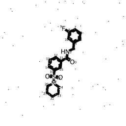 O=C(NCc1cccc(F)c1)c1cccc(S(=O)(=O)N2CCCCC2)c1